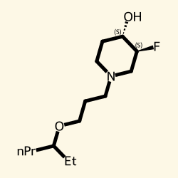 CCCC(CC)OCCCN1CC[C@H](O)[C@@H](F)C1